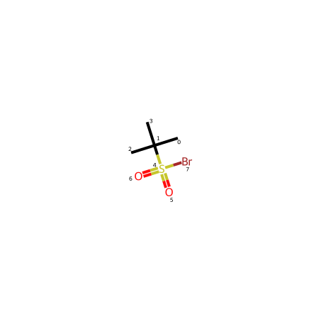 CC(C)(C)S(=O)(=O)Br